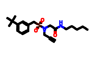 C#CCN(CC(=O)NCCCCC)S(=O)(=O)Cc1cccc(C(C)(C)C)c1